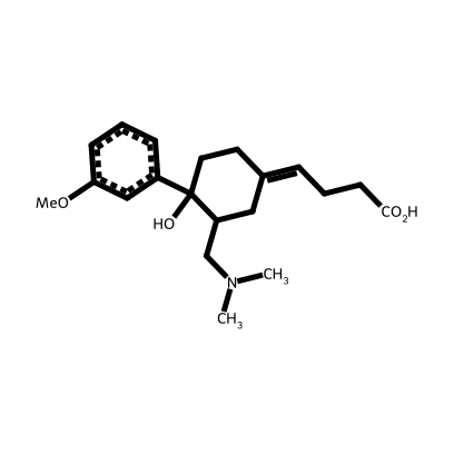 COc1cccc(C2(O)CCC(=CCCC(=O)O)CC2CN(C)C)c1